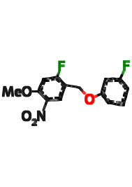 COc1cc(F)c(COc2cccc(F)c2)cc1[N+](=O)[O-]